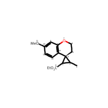 CCOC(=O)C1C(C)[C@]12CCOc1cc(OC)ccc12